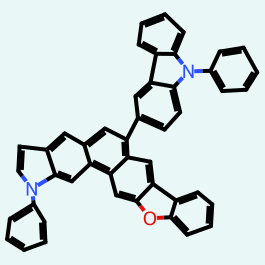 c1ccc(-n2ccc3cc4cc(-c5ccc6c(c5)c5ccccc5n6-c5ccccc5)c5cc6c(cc5c4cc32)oc2ccccc26)cc1